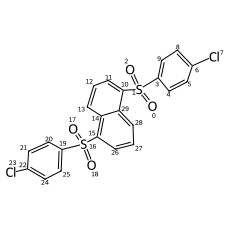 O=S(=O)(c1ccc(Cl)cc1)c1cccc2c(S(=O)(=O)c3ccc(Cl)cc3)cccc12